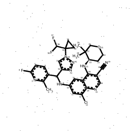 Cc1nc(F)ccc1C(Nc1cc(Cl)c2ncc(C#N)c(N[C@@H]3CCOCC3(C)C)c2c1)c1cn(C2(C(F)F)CC2)nn1